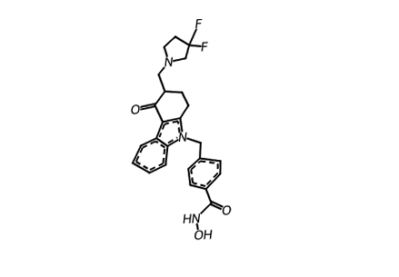 O=C(NO)c1ccc(Cn2c3c(c4ccccc42)C(=O)C(CN2CCC(F)(F)C2)CC3)cc1